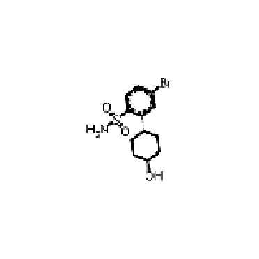 NS(=O)(=O)c1ccc(Br)cc1[C@H]1CC[C@H](O)CC1